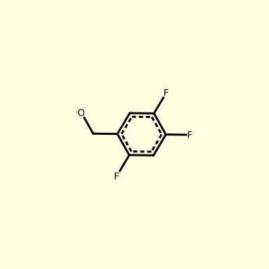 [O]Cc1cc(F)c(F)cc1F